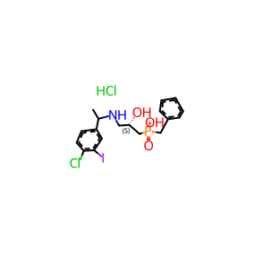 CC(NC[C@H](O)CP(=O)(O)Cc1ccccc1)c1ccc(Cl)c(I)c1.Cl